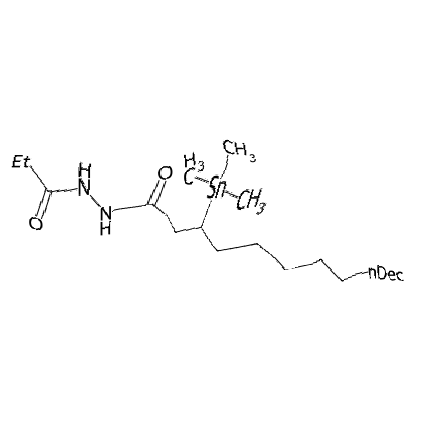 CCCCCCCCCCCCCCC[CH](CC(=O)NNC(=O)CC)[Sn]([CH3])([CH3])[CH3]